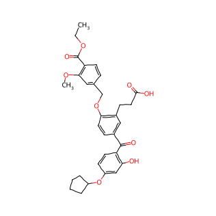 CCOC(=O)c1ccc(COc2ccc(C(=O)c3ccc(OC4CCCC4)cc3O)cc2CCC(=O)O)cc1OC